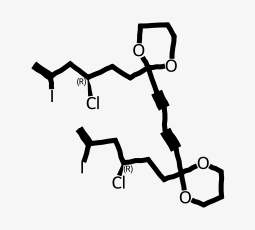 C=C(I)C[C@H](Cl)CCC1(C#CC#CC2(CC[C@@H](Cl)CC(=C)I)OCCCO2)OCCCO1